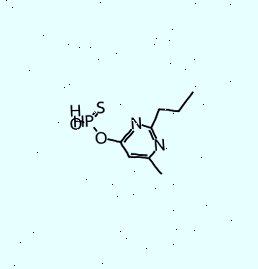 CCCc1nc(C)cc(O[PH](O)=S)n1